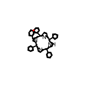 C1=Cc2nc1c(-c1ccccc1)c1ccc([nH]1)c(-c1ccccc1)c1nc(c(-c3ccccc3)c3ccc(c2-c2ccccc2)n3Cc2ccccc2)C=C1